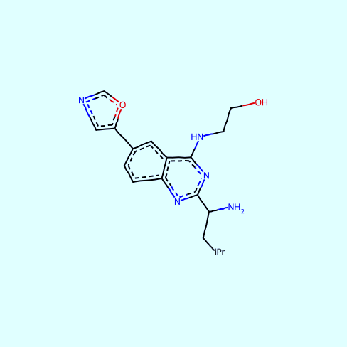 CC(C)CC(N)c1nc(NCCO)c2cc(-c3cnco3)ccc2n1